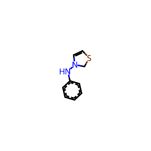 C1=CN(Nc2ccccc2)CS1